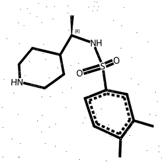 Cc1ccc(S(=O)(=O)N[C@H](C)C2CCNCC2)cc1C